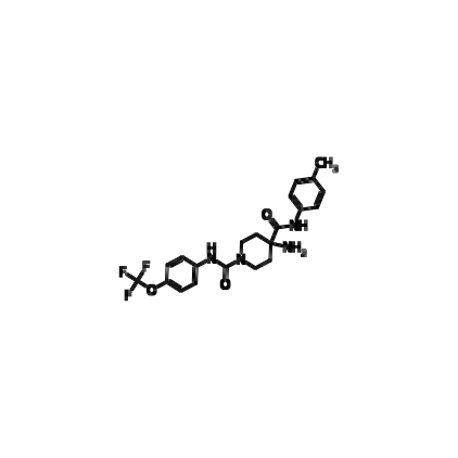 Cc1ccc(NC(=O)C2(N)CCN(C(=O)Nc3ccc(OC(F)(F)F)cc3)CC2)cc1